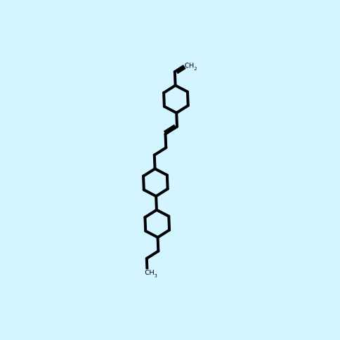 C=CC1CCC(C=CCCC2CCC(C3CCC(CCC)CC3)CC2)CC1